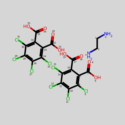 NCCN.O=C(O)c1c(Cl)c(Cl)c(Cl)c(Cl)c1C(=O)O.O=C(O)c1c(Cl)c(Cl)c(Cl)c(Cl)c1C(=O)O